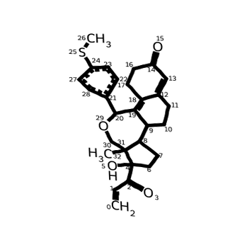 C=CC(=O)C1(O)CCC2C3CCC4=CC(=O)CCC4=C3C(c3ccc(SC)cc3)OCC21C